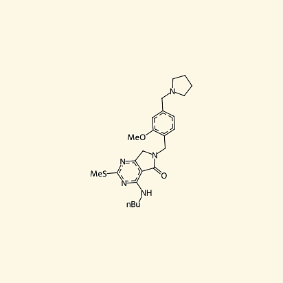 CCCCNc1nc(SC)nc2c1C(=O)N(Cc1ccc(CN3CCCC3)cc1OC)C2